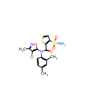 Cc1ccc(N(C(=O)c2sccc2S(N)(=O)=O)c2onc(C)c2Cl)c(C)c1